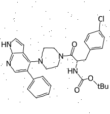 CC(C)(C)OC(=O)NC(Cc1ccc(Cl)cc1)C(=O)N1CCN(c2c(-c3ccccc3)cnc3[nH]ccc23)CC1